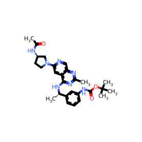 CC(=O)N[C@@H]1CCN(c2cc3c(N[C@@H](C)c4cccc(NC(=O)OC(C)(C)C)c4)nc(C)nc3cn2)C1